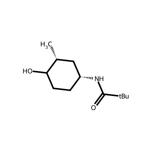 C[C@@H]1C[C@H](NC(=O)C(C)(C)C)CCC1O